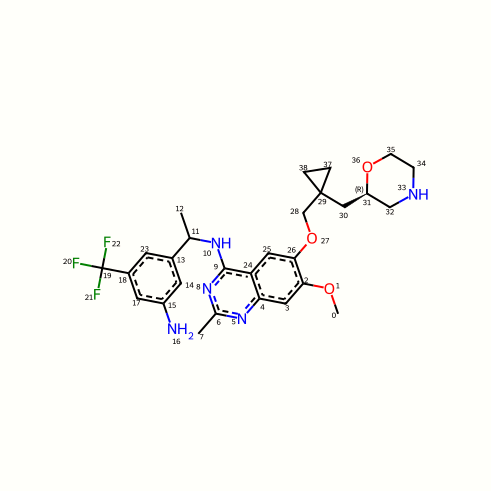 COc1cc2nc(C)nc(NC(C)c3cc(N)cc(C(F)(F)F)c3)c2cc1OCC1(C[C@@H]2CNCCO2)CC1